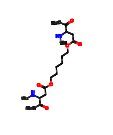 COC(=O)C(CC(=O)OCCCCCCOC(=O)CC(NC(C)(C)C)C(=O)OC)NC(C)(C)C